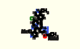 CNC(C)C(=O)Nc1ccc(-c2c(-c3cccnc3OC)nc3cc(Cl)ccn23)c(C#Cc2ccc3c(C)nccc3c2)n1